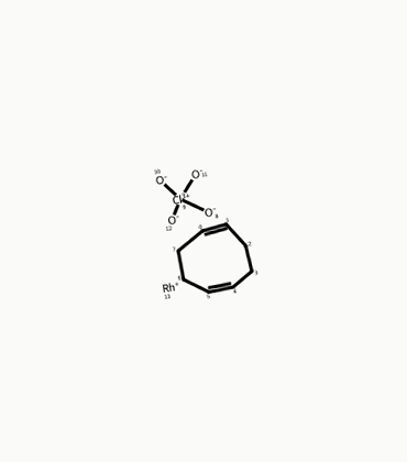 C1=C\CC/C=C\CC/1.[O-][Cl+3]([O-])([O-])[O-].[Rh+]